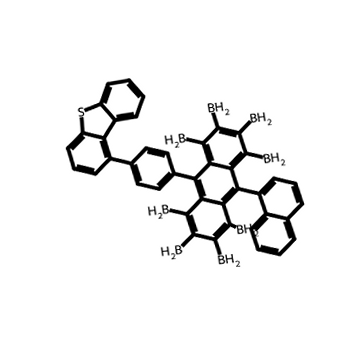 Bc1c(B)c(B)c2c(-c3cccc4ccccc34)c3c(B)c(B)c(B)c(B)c3c(-c3ccc(-c4cccc5sc6ccccc6c45)cc3)c2c1B